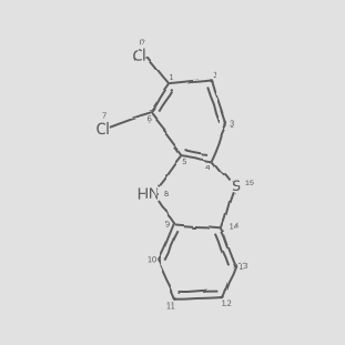 Clc1ccc2c(c1Cl)Nc1ccccc1S2